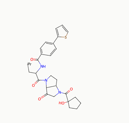 CC(C)CC(NC(=O)c1ccc(-c2cccs2)cc1)C(=O)N1CCC2C1C(=O)CN2C(=O)C1(O)CCCC1